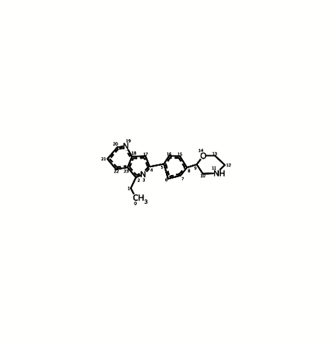 CCc1nc(-c2ccc(C3CNCCO3)cc2)cc2ncccc12